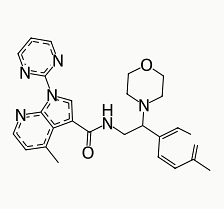 C=C(C)/C=C\C(=C/C)C(CNC(=O)c1cn(-c2ncccn2)c2nccc(C)c12)N1CCOCC1